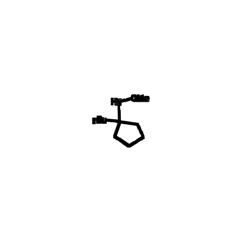 CCCCC1(NOC)CCCC1